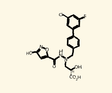 O=C(NN(Cc1ccc(-c2cc(F)cc(Cl)c2)cc1)C[C@H](O)C(=O)O)c1cc(O)no1